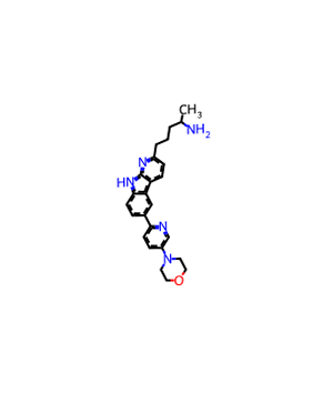 CC(N)CCCc1ccc2c(n1)[nH]c1ccc(-c3ccc(N4CCOCC4)cn3)cc12